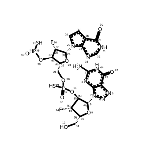 Nc1nc2c(nnn2[C@@H]2O[C@H](CO)[C@H](F)[C@H]2OP(=O)(S)OC[C@H]2O[C@@H](n3ccc4c(=O)[nH]cnc43)[C@@H](F)[C@@H]2O[PH](=O)S)c(=O)[nH]1